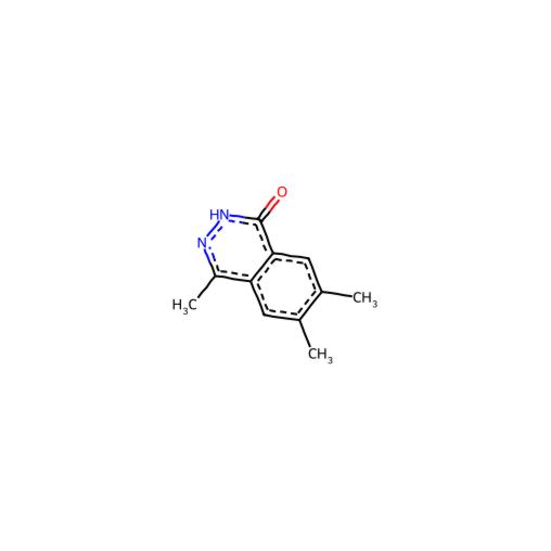 Cc1cc2c(C)n[nH]c(=O)c2cc1C